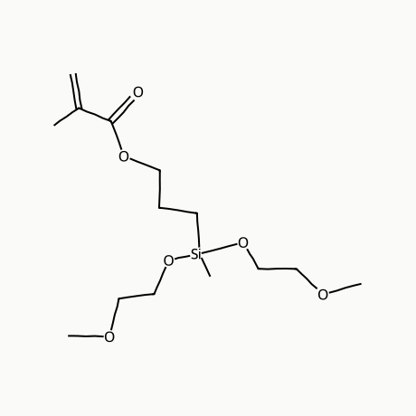 C=C(C)C(=O)OCCC[Si](C)(OCCOC)OCCOC